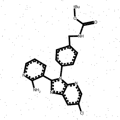 CC(C)(C)OC(=O)NCc1ccc(-n2c(-c3cccnc3N)nc3cc(Cl)cnc32)cc1